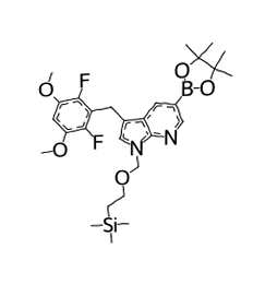 COc1cc(OC)c(F)c(Cc2cn(COCC[Si](C)(C)C)c3ncc(B4OC(C)(C)C(C)(C)O4)cc23)c1F